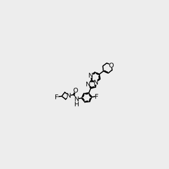 O=C(Nc1ccc(F)c(-c2cn3cc(C4=CCOCC4)cnc3n2)c1)N1CC(F)C1